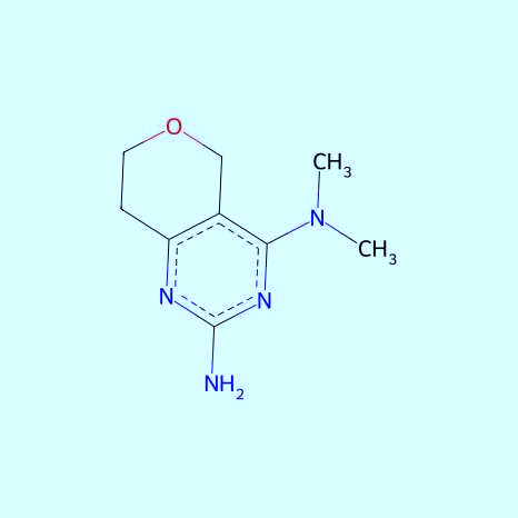 CN(C)c1nc(N)nc2c1COCC2